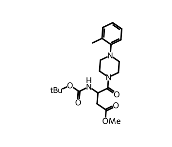 COC(=O)CC(NC(=O)OC(C)(C)C)C(=O)N1CCN(c2ccccc2C)CC1